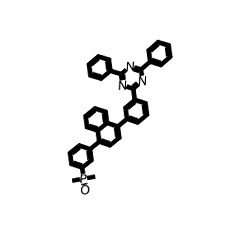 CP(C)(=O)c1cccc(-c2ccc(-c3cccc(-c4nc(-c5ccccc5)nc(-c5ccccc5)n4)c3)c3ccccc23)c1